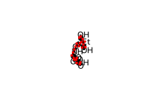 CCC(=C(c1ccc(O)cc1)c1ccc(OCCNCc2ccc3c(c2)C(=O)N(C2CCC(=O)NC2=O)C3=O)cc1)c1ccc(O)cc1